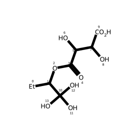 CCC(OC(=O)C(O)C(O)C(=O)O)C(O)(O)O